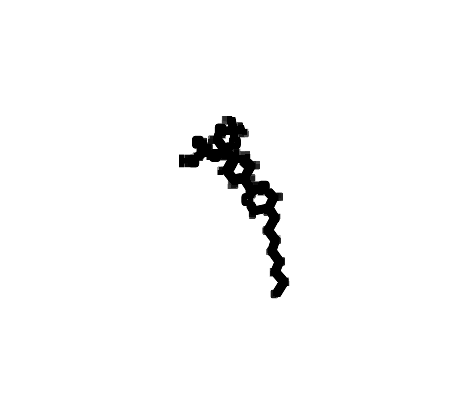 CCCCCCCCC1COC(c2ccc([C@@]3(OC(=O)O)COC(C)(C)O3)cc2)OC1